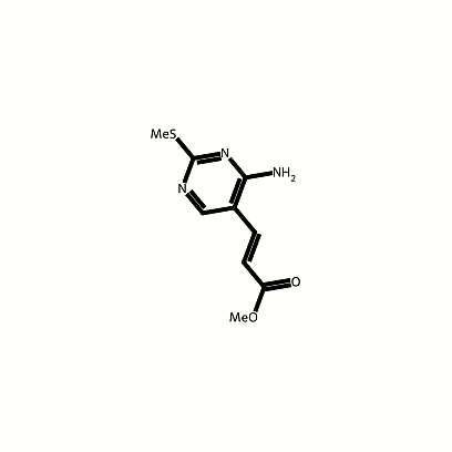 COC(=O)C=Cc1cnc(SC)nc1N